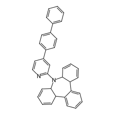 C1=CC2c3ccccc3C3C=CC=CC3N(c3cc(-c4ccc(-c5ccccc5)cc4)ccn3)C2C=C1